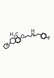 Cc1c(OCCCNCCc2ccc(F)cc2)ccc2c1CCC(N1CCCC1)C2